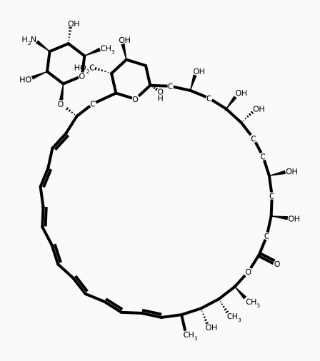 CC1/C=C/C=C/C=C/C=C/C=C/C=C/C=C/[C@H](O[C@@H]2O[C@H](C)[C@@H](O)[C@H](N)[C@@H]2O)CC2O[C@](O)(C[C@@H](O)C[C@@H](O)[C@H](O)CC[C@@H](O)C[C@@H](O)CC(=O)O[C@@H](C)[C@H](C)[C@@H]1O)C[C@H](O)[C@H]2C(=O)O